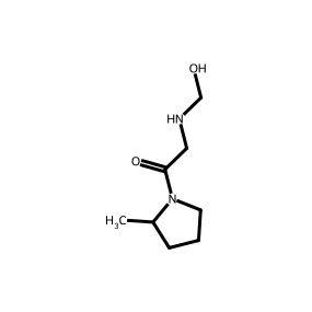 CC1CCCN1C(=O)CNCO